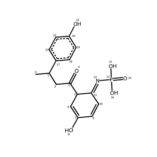 CC(CC(=O)C1C=C(O)C=C/C1=N\P(=O)(O)O)c1ccc(O)cc1